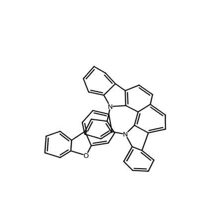 c1ccc(-n2c3ccccc3c3ccc4ccc5c6ccccc6n(-c6ccc7oc8ccccc8c7c6)c5c4c32)cc1